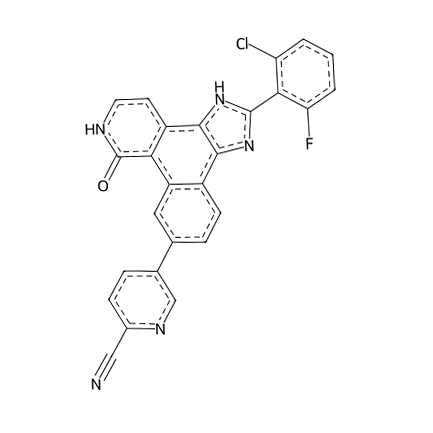 N#Cc1ccc(-c2ccc3c(c2)c2c(=O)[nH]ccc2c2[nH]c(-c4c(F)cccc4Cl)nc32)cn1